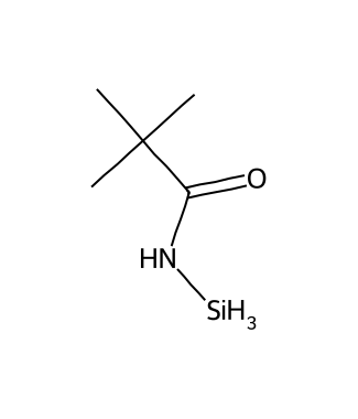 CC(C)(C)C(=O)N[SiH3]